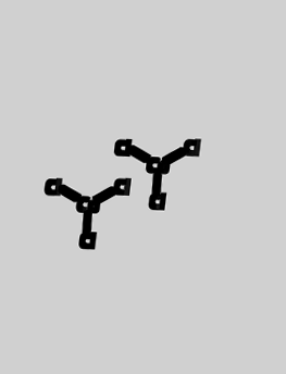 [Cl][Co]([Cl])[Cl].[Cl][Co]([Cl])[Cl]